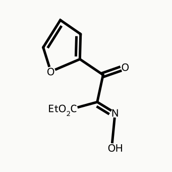 CCOC(=O)/C(=N\O)C(=O)c1ccco1